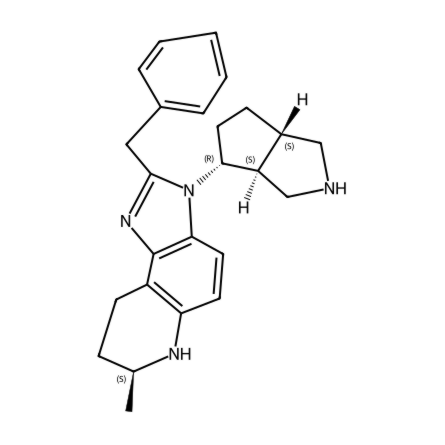 C[C@H]1CCc2c(ccc3c2nc(Cc2ccccc2)n3[C@@H]2CC[C@@H]3CNC[C@H]32)N1